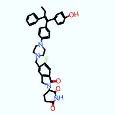 CC/C(=C(\c1ccc(O)cc1)c1ccc(N2CCN(Cc3cc4c(cc3F)C(=O)N(C3CCC(=O)NC3=O)C4)CC2)cc1)c1ccccc1